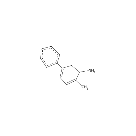 CC1=CC=C(c2ccccc2)CC1N